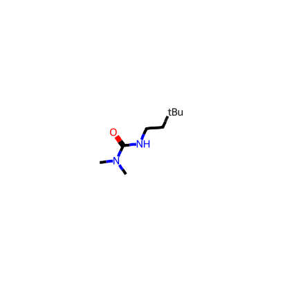 CN(C)C(=O)NCCC(C)(C)C